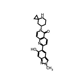 Cn1cc2cc(-c3ccc4c(=O)n([C@@H]5CCNC6(CC6)C5)ccc4n3)c(O)cc2n1